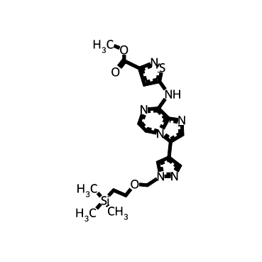 COC(=O)c1cc(Nc2nccn3c(-c4cnn(COCC[Si](C)(C)C)c4)cnc23)sn1